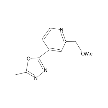 COCc1cc(-c2nnc(C)o2)ccn1